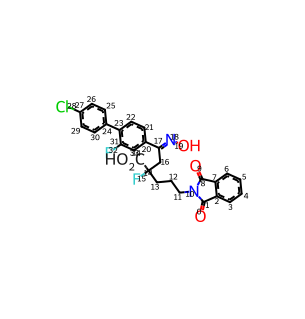 O=C1c2ccccc2C(=O)N1CCCC(F)(C/C(=N\O)c1ccc(-c2ccc(Cl)cc2)c(F)c1)C(=O)O